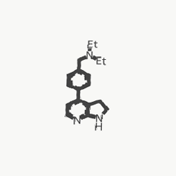 CCN(CC)Cc1ccc(-c2ccnc3c2CCN3)cc1